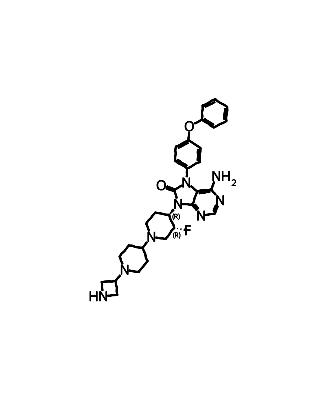 Nc1ncnc2c1n(-c1ccc(Oc3ccccc3)cc1)c(=O)n2[C@@H]1CCN(C2CCN(C3CNC3)CC2)C[C@H]1F